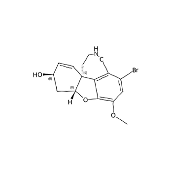 COc1cc(Br)c2c3c1O[C@@H]1C[C@@H](O)C=C[C@@]31CCNC2